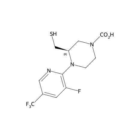 O=C(O)N1CCN(c2ncc(C(F)(F)F)cc2F)[C@@H](CS)C1